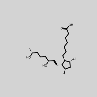 C[C@@H]1C[C@@H](Cl)[C@H](CCCCCCC(=O)O)[C@H]1/C=C/[C@@H](O)CCC[C@@H](C)O